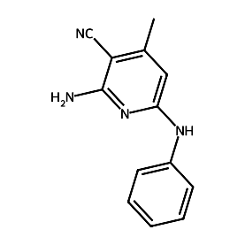 Cc1cc(Nc2ccccc2)nc(N)c1C#N